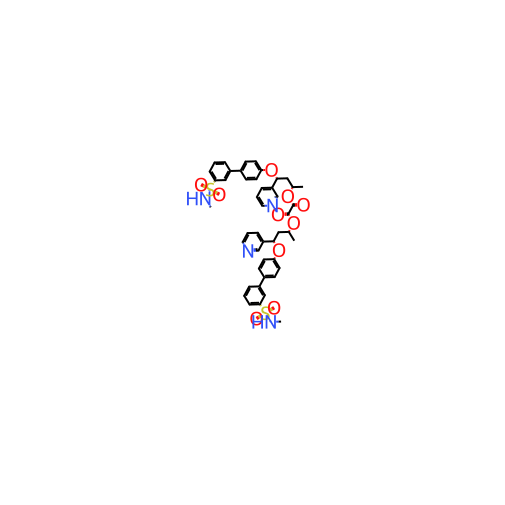 CNS(=O)(=O)c1cccc(-c2ccc(OC(CC(C)OC(=O)C(=O)OC(C)CC(Oc3ccc(-c4cccc(S(=O)(=O)NC)c4)cc3)c3cccnc3)c3cccnc3)cc2)c1